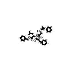 CC(C)C[C@@H](NC(=O)C(Cc1ccccc1)NC(=O)CNC1C[C@@H]1c1ccccc1)C(=O)OCc1ccccc1